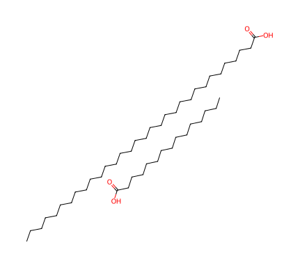 CCCCCCCCCCCCCCC(=O)O.CCCCCCCCCCCCCCCCCCCCCCCCCCCCCCCC(=O)O